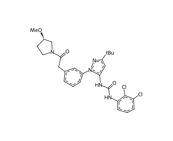 CO[C@@H]1CCN(C(=O)Cc2cccc(-n3nc(C(C)(C)C)cc3NC(=O)Nc3cccc(Cl)c3Cl)c2)C1